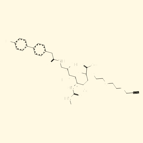 C#CCOCCOCCO[C@]1(C(=O)O)C[C@H](O)[C@@H](NC(=O)NC)[C@H]([C@H](O)[C@H](O)CNC(=O)Cc2ccc(-c3ccc(O)cc3)cc2)O1